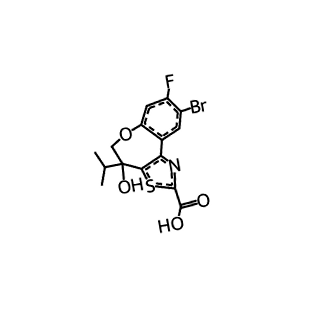 CC(C)C1(O)COc2cc(F)c(Br)cc2-c2nc(C(=O)O)sc21